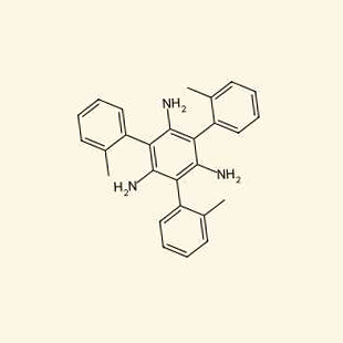 Cc1ccccc1-c1c(N)c(-c2ccccc2C)c(N)c(-c2ccccc2C)c1N